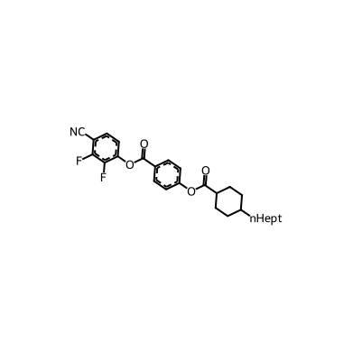 CCCCCCCC1CCC(C(=O)Oc2ccc(C(=O)Oc3ccc(C#N)c(F)c3F)cc2)CC1